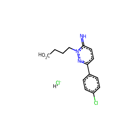 N=c1ccc(-c2ccc(Cl)cc2)nn1CCCC(=O)O.[Cl-].[H+]